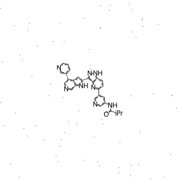 CC(C)C(=O)Nc1cncc(-c2ccc3[nH]nc(-c4cc5c(-c6cccnc6)cncc5[nH]4)c3n2)c1